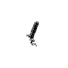 C=CC(=O)OC(F)(F)C(O)(F)C(F)(F)C(F)(F)C(F)(F)C(F)(F)C(F)(F)C(F)(F)C(F)(F)CC